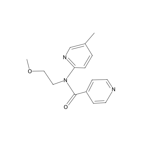 COCCN(C(=O)c1ccncc1)c1ccc(C)cn1